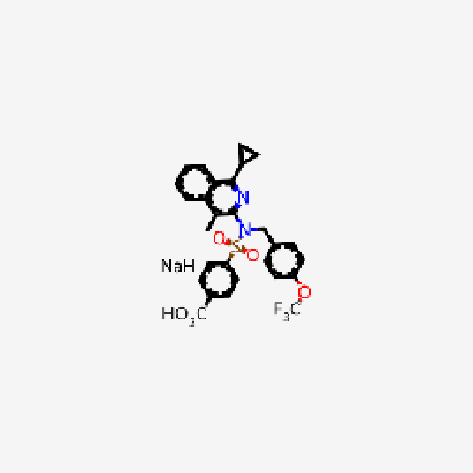 Cc1c(N(Cc2ccc(OC(F)(F)F)cc2)S(=O)(=O)c2ccc(C(=O)O)cc2)nc(C2CC2)c2ccccc12.[NaH]